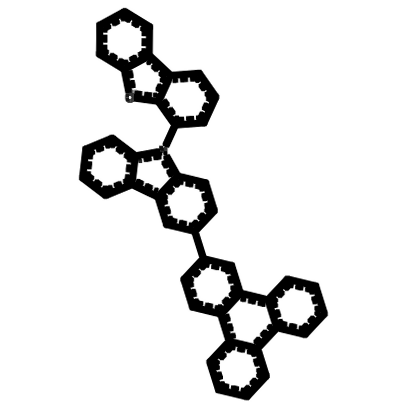 c1ccc2c(c1)oc1c(-n3c4ccccc4c4cc(-c5ccc6c7ccccc7c7ccccc7c6c5)ccc43)cccc12